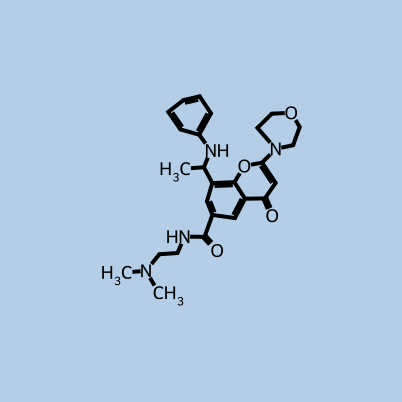 CC(Nc1ccccc1)c1cc(C(=O)NCCN(C)C)cc2c(=O)cc(N3CCOCC3)oc12